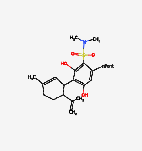 C=C(C)C1CCC(C)=CC1c1c(O)cc(CCCCC)c(S(=O)(=O)N(C)C)c1O